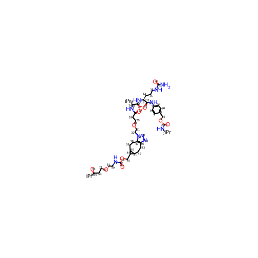 CC(C)NC(=O)OCc1ccc(NC(=O)[C@H](CCCNC(N)=O)NC(=O)[C@@H](NC(=O)CCOCCn2nnc3c2CCC2C(CC3)C2COC(=O)NCCOCCC(=O)C(C)C)C(C)C)cc1